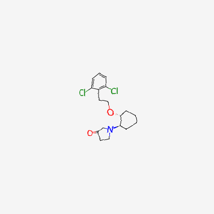 O=C1CCN([C@@H]2CCCC[C@H]2OCCc2c(Cl)cccc2Cl)C1